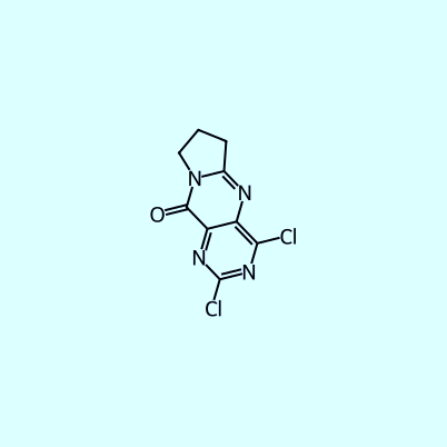 O=c1c2nc(Cl)nc(Cl)c2nc2n1CCC2